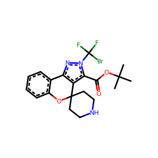 CC(C)(C)OC(=O)c1c2c(nn1C(F)(F)Br)-c1ccccc1OC21CCNCC1